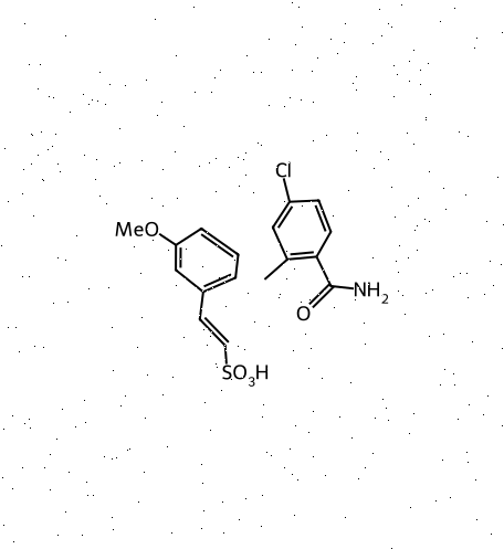 COc1cccc(/C=C/S(=O)(=O)O)c1.Cc1cc(Cl)ccc1C(N)=O